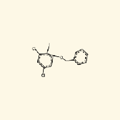 Clc1cc(Cl)c(I)c(OCc2ccccc2)c1